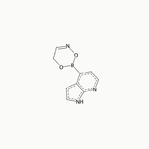 C1=NOB(c2ccnc3[nH]ccc23)OC1